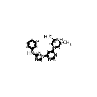 C[C@@H]1CN(c2cc(-n3cnc(Nc4ccccc4)n3)ncn2)C[C@H](C)N1